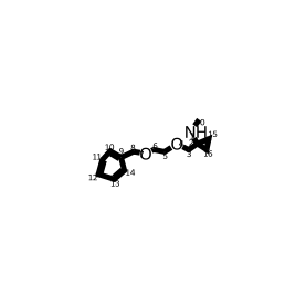 CNC1(COCCOCc2ccccc2)CC1